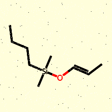 CC=CO[Si](C)(C)CCCC